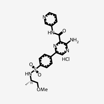 COC[C@H](C)NS(=O)(=O)c1ccc(-c2cnc(N)c(C(=O)Nc3cccnc3)n2)cc1.Cl